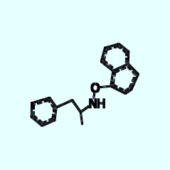 CC(Cc1ccccc1)NOc1cccc2ccccc12